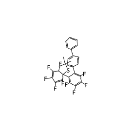 CC(C)(C)SC1(c2c(F)c(F)c(F)c(F)c2-c2ccc(-c3ccccc3)cc2)C(F)=C(F)C(F)=C(F)C1F